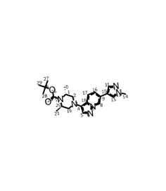 C[C@@H]1CN(c2cnn3cc(-c4cnn(C)c4)ccc23)C[C@@H](C)N1C(=O)OC(C)(C)C